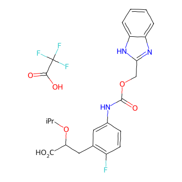 CC(C)OC(Cc1cc(NC(=O)OCc2nc3ccccc3[nH]2)ccc1F)C(=O)O.O=C(O)C(F)(F)F